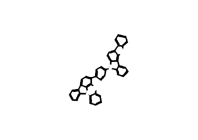 c1ccc2c(c1)Oc1c(-c3ccc(-n4c5ccccc5c5c6oc7ccccc7c6ccc54)cc3)ccc3c4ccccc4n-2c13